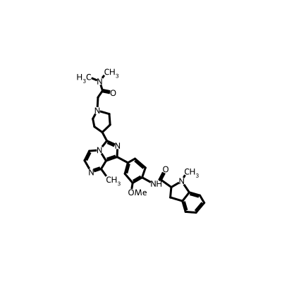 COc1cc(-c2nc(C3CCN(CC(=O)N(C)C)CC3)n3ccnc(C)c23)ccc1NC(=O)C1Cc2ccccc2N1C